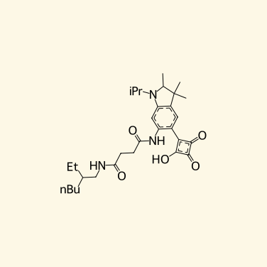 CCCCC(CC)CNC(=O)CCC(=O)Nc1cc2c(cc1-c1c(O)c(=O)c1=O)C(C)(C)C(C)N2C(C)C